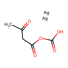 CC(=O)CC(=O)OC(=O)O.[Ag].[Ag]